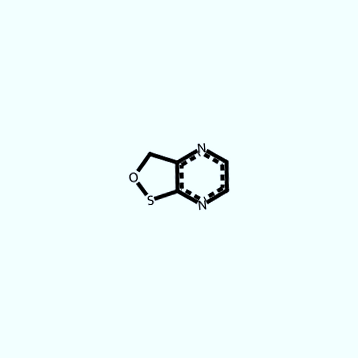 c1cnc2c(n1)COS2